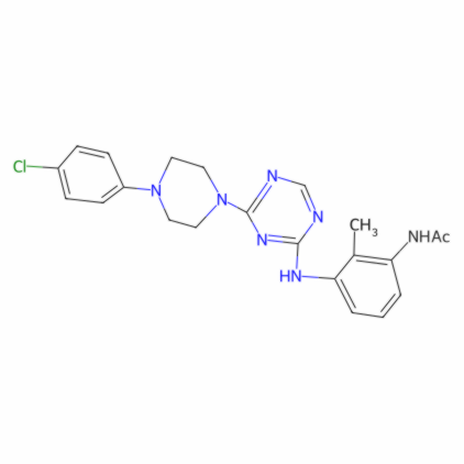 CC(=O)Nc1cccc(Nc2ncnc(N3CCN(c4ccc(Cl)cc4)CC3)n2)c1C